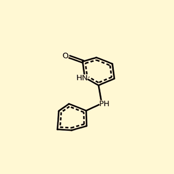 O=c1cccc(Pc2ccccc2)[nH]1